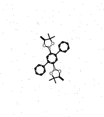 C=C1OB(c2cc(-c3ccccc3)c(B3OC(=C)C(C)(C)O3)cc2-c2ccccc2)OC1(C)C